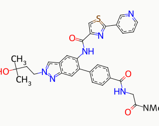 CNC(=O)CNC(=O)c1ccc(-c2cc3nn(CCC(C)(C)O)cc3cc2NC(=O)c2csc(-c3cccnc3)n2)cc1